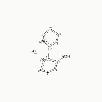 Oc1cccnc1-c1ccccn1.[Li]